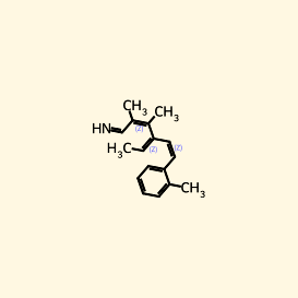 C/C=C(/C=C\c1ccccc1C)C(\C)=C(\C)C=N